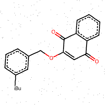 CCC(C)c1cccc(COC2=CC(=O)c3ccccc3C2=O)c1